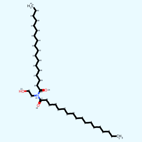 CCCCCCCCCCCCCCCCCC(=O)N(CCO)C(=O)CCCCCCCCCCCCCCCCC